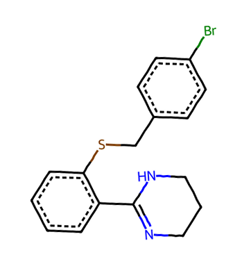 Brc1ccc(CSc2ccccc2C2=NCCCN2)cc1